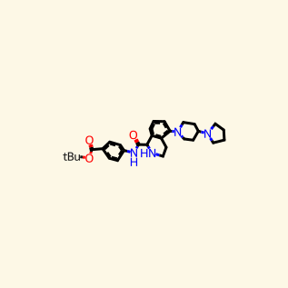 CC(C)(C)OC(=O)c1ccc(NC(=O)C2NCCc3c2cccc3N2CCC(N3CCCC3)CC2)cc1